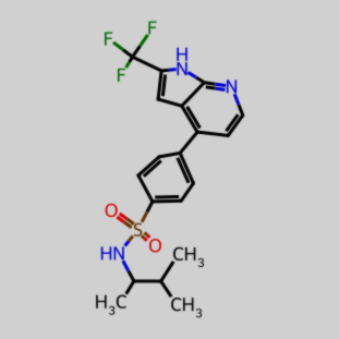 CC(C)C(C)NS(=O)(=O)c1ccc(-c2ccnc3[nH]c(C(F)(F)F)cc23)cc1